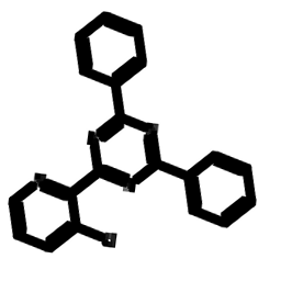 Clc1cccnc1-c1nc(-c2ccccc2)nc(-c2ccccc2)n1